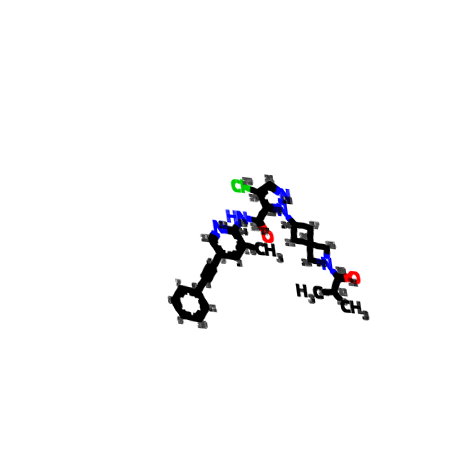 Cc1cc(C#Cc2ccccc2)cnc1NC(=O)c1c(Cl)cnn1C1CC2(C1)CN(C(=O)C(C)C)C2